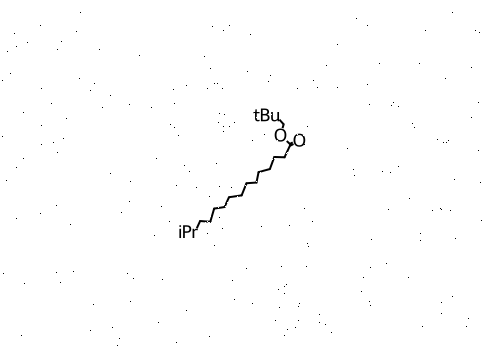 CC(C)CCCCCCCCCCCCC(=O)OCC(C)(C)C